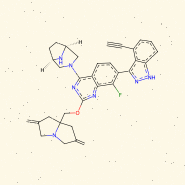 C#Cc1cccc2[nH]nc(-c3ccc4c(N5C[C@H]6CC[C@@H](C5)N6)nc(OCC56CC(=C)CN5CC(=C)C6)nc4c3F)c12